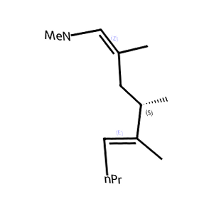 CCC/C=C(\C)[C@@H](C)C/C(C)=C\NC